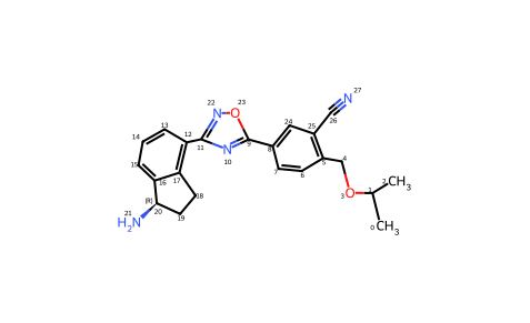 CC(C)OCc1ccc(-c2nc(-c3cccc4c3CC[C@H]4N)no2)cc1C#N